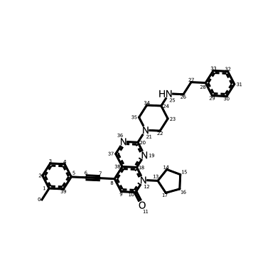 Cc1cccc(C#Cc2cc(=O)n(C3CCCC3)c3nc(N4CCC(NCCc5ccccc5)CC4)ncc23)c1